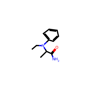 CCN(c1ccccc1)C(C)C(N)=O